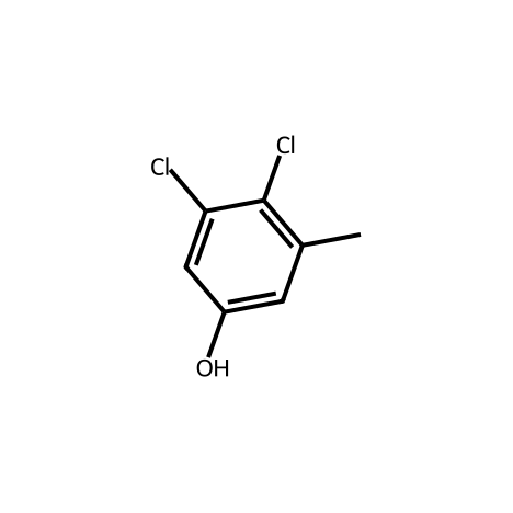 Cc1cc(O)cc(Cl)c1Cl